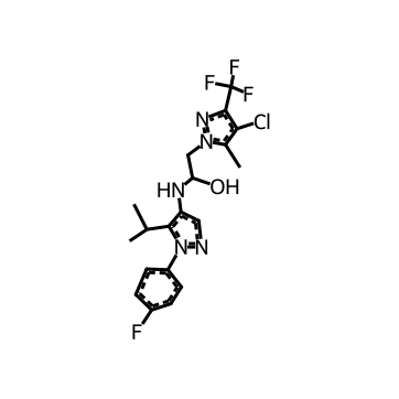 Cc1c(Cl)c(C(F)(F)F)nn1CC(O)Nc1cnn(-c2ccc(F)cc2)c1C(C)C